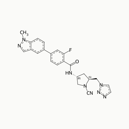 Cn1ncc2cc(-c3ccc(C(=O)N[C@@H]4C[C@@H](Cn5ccnn5)N(C#N)C4)c(F)c3)ccc21